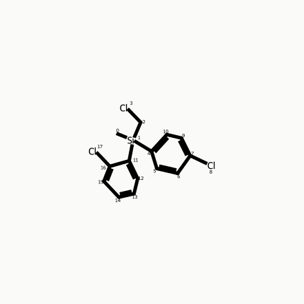 C[Si](CCl)(c1ccc(Cl)cc1)c1ccccc1Cl